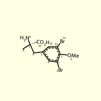 COc1c(Br)cc(C[C@@](C)(N)C(=O)O)cc1Br